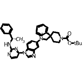 C[C@H](Nc1nccc(-n2cnc3cc(NCC4(c5ccccc5)CCN(C(=O)OC(C)(C)C)CC4)ccc32)n1)c1ccccc1